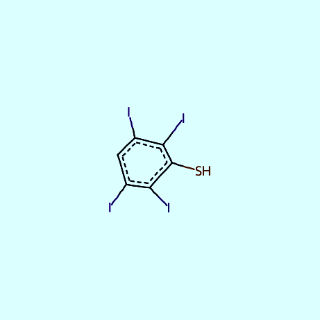 Sc1c(I)c(I)cc(I)c1I